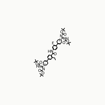 CCc1cc(C2=CCN(C(=NC(=O)OC(C)(C)C)NC(=O)OC(C)(C)C)CC2)ccc1C(=O)Nc1ccc(C2=CCN(C(=NC(=O)OC(C)(C)C)NC(=O)OC(C)(C)C)CC2)c(F)c1